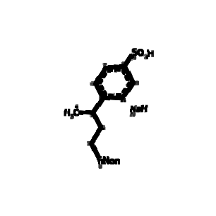 CCCCCCCCCCCC(C)c1ccc(S(=O)(=O)O)cc1.[NaH]